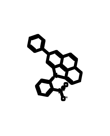 O=[N+]([O-])c1ccccc1-n1c2c3c4c1=CCCC4C=CC3=CC(c1ccccc1)C=2